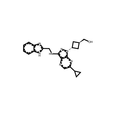 OC[C@H]1C[C@H](n2nc(NCc3nc4ccccc4[nH]3)c3ncc(C4CC4)nc32)C1